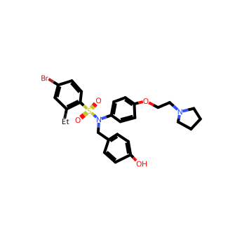 CCc1cc(Br)ccc1S(=O)(=O)N(Cc1ccc(O)cc1)c1ccc(OCCN2CCCC2)cc1